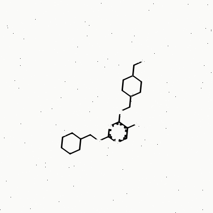 NCC1CCC(CNc2nc(NCC3CCCCC3)ncc2[N+](=O)[O-])CC1